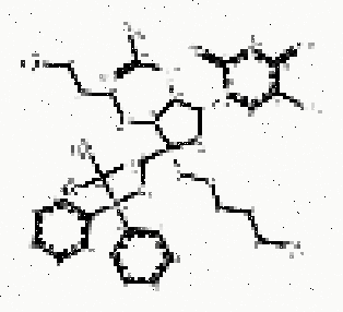 CCCCOC[C@@]1(CO[Si](c2ccccc2)(c2ccccc2)C(C)(C)C)O[C@@H](n2cc(C)c(=O)[nH]c2=O)[C@@H](OC(C)=O)C1OCCCC